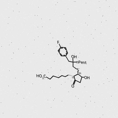 CCCCCC(O)(CS[C@H]1C(O)CC(=O)[C@@H]1CCCCCCC(=O)O)Cc1ccc(F)cc1